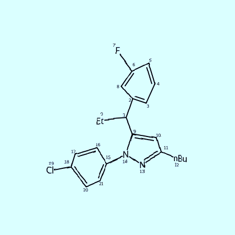 [CH2]CC(c1cccc(F)c1)c1cc(CCCC)nn1-c1ccc(Cl)cc1